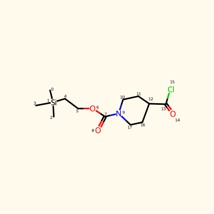 C[Si](C)(C)CCOC(=O)N1CCC(C(=O)Cl)CC1